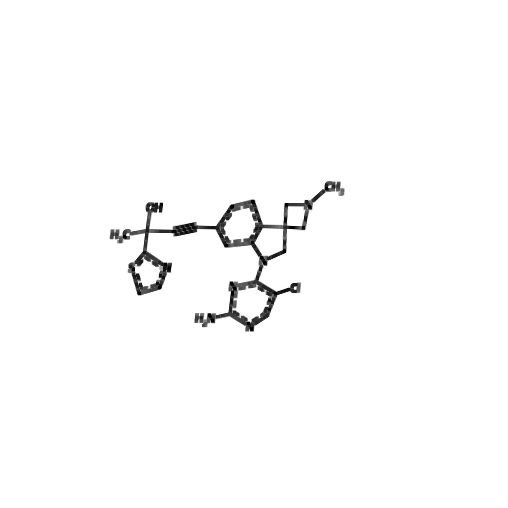 CN1CC2(C1)CN(c1nc(N)ncc1Cl)c1cc(C#CC(C)(O)c3nccs3)ccc12